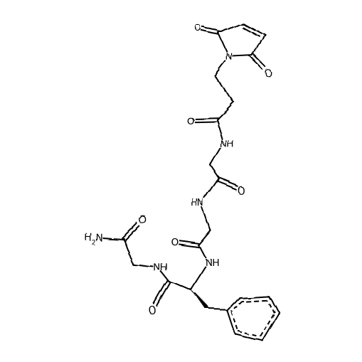 NC(=O)CNC(=O)[C@H](Cc1ccccc1)NC(=O)CNC(=O)CNC(=O)CCN1C(=O)C=CC1=O